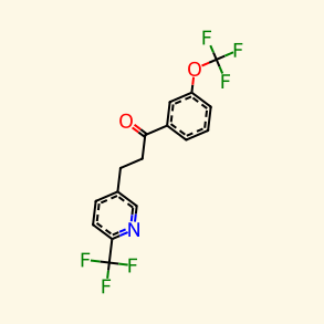 O=C(CCc1ccc(C(F)(F)F)nc1)c1cccc(OC(F)(F)F)c1